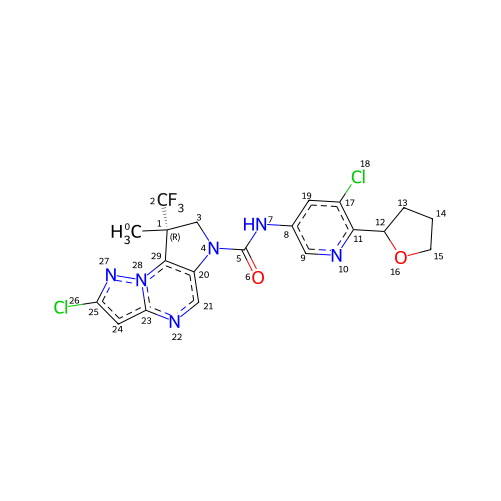 C[C@@]1(C(F)(F)F)CN(C(=O)Nc2cnc(C3CCCO3)c(Cl)c2)c2cnc3cc(Cl)nn3c21